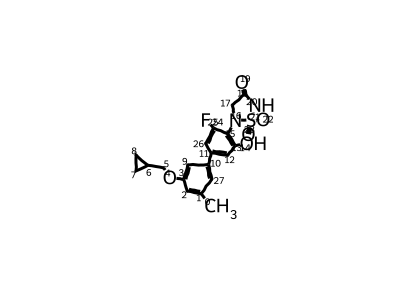 Cc1cc(OCC2CC2)cc(-c2cc(O)c(N3CC(=O)NS3(=O)=O)c(F)c2)c1